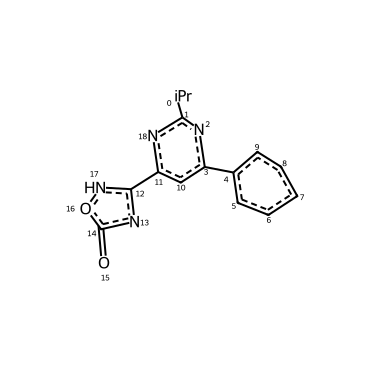 CC(C)c1nc(-c2ccccc2)cc(-c2nc(=O)o[nH]2)n1